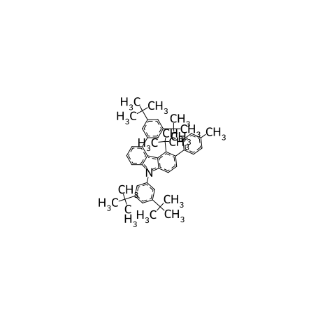 Cc1ccc(-c2ccc3c(c2C(C)(C)C)c2c(-c4cc(C(C)(C)C)cc(C(C)(C)C)c4)cccc2n3-c2cc(C(C)(C)C)cc(C(C)(C)C)c2)cc1